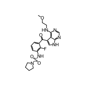 COCCNc1ncnc2[nH]cc(C(=O)c3cccc(NS(=O)(=O)N4CCCC4)c3F)c12